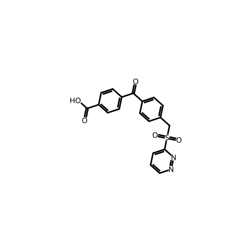 O=C(O)c1ccc(C(=O)c2ccc(CS(=O)(=O)c3cccnn3)cc2)cc1